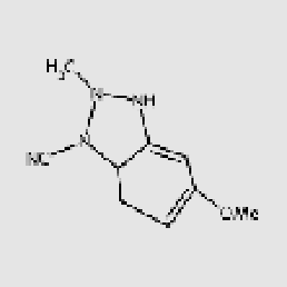 COC1=CCC2C(=C1)NN(C)N2C#N